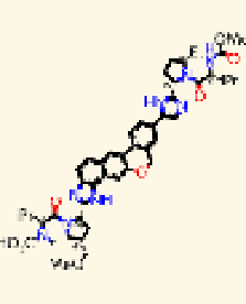 CC[C@H]1CC[C@@H](c2ncc(-c3ccc4c(c3)COc3cc5c(ccc6nc([C@@H]7C[C@H](COC)CN7C(=O)[C@H](C(C)C)N(C)C(=O)O)[nH]c65)cc3-4)[nH]2)N1C(=O)[C@@H](NC(=O)OC)C(C)C